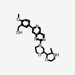 COc1ccc(-c2cc3nc(N4CCOC(C5OCCNC5C)C4)ncc3cn2)cc1CO